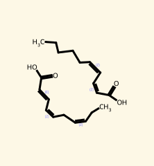 CC/C=C\C/C=C\C=C\C(=O)O.CCCCC/C=C\C=C/C(=O)O